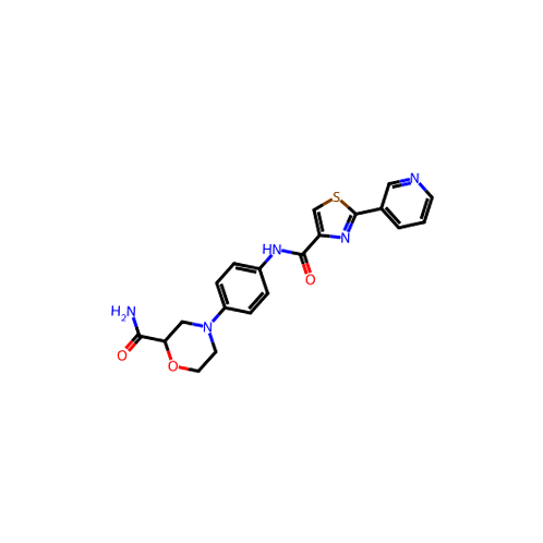 NC(=O)C1CN(c2ccc(NC(=O)c3csc(-c4cccnc4)n3)cc2)CCO1